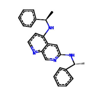 C[C@@H](Nc1cc2c(N[C@H](C)c3ccccc3)ccnc2cn1)c1ccccc1